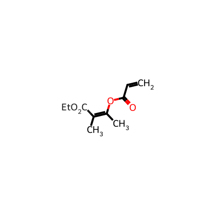 C=CC(=O)OC(C)=C(C)C(=O)OCC